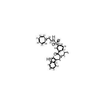 CCCN(Cc1c[nH]c2ccccc12)C(=O)c1cccc(S(=O)(=O)NCCN2C=CC=CC=C2)c1